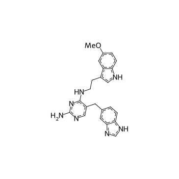 COc1ccc2[nH]cc(CCNc3nc(N)ncc3Cc3ccc4[nH]cnc4c3)c2c1